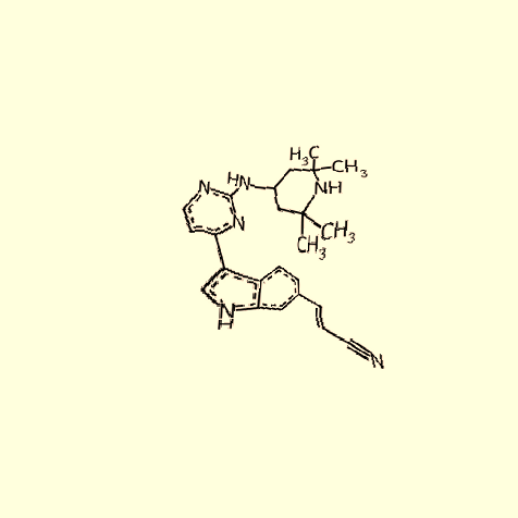 CC1(C)CC(Nc2nccc(-c3c[nH]c4cc(C=CC#N)ccc34)n2)CC(C)(C)N1